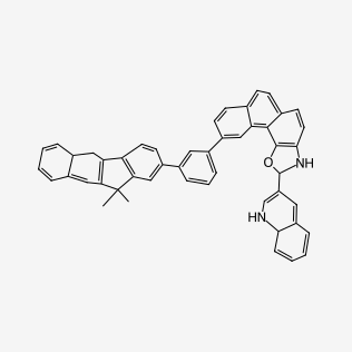 CC1(C)C2=C(CC3C=CC=CC3=C2)c2ccc(-c3cccc(-c4ccc5ccc6ccc7c(c6c5c4)OC(C4=CNC5C=CC=CC5=C4)N7)c3)cc21